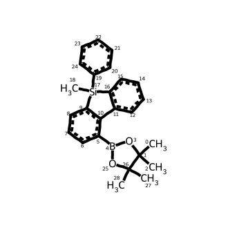 CC1(C)OB(c2cccc3c2-c2ccccc2[Si]3(C)c2ccccc2)OC1(C)C